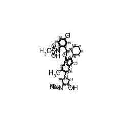 Cc1cn2nc([C@@H]3CCCCN3C(=O)c3cc(Cl)ccc3NS(C)(=O)=O)cc2nc1N1C[C@H](O)[C@H](N=[N+]=[N-])C1